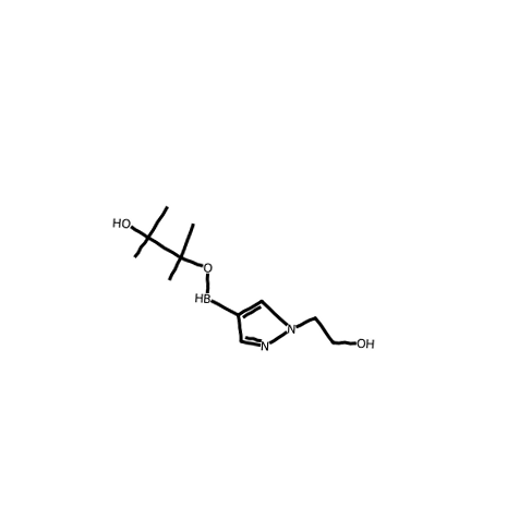 CC(C)(O)C(C)(C)OBc1cnn(CCO)c1